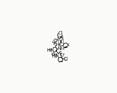 COc1c(Cl)cccc1NC(=S)C1=C(NCc2ccncc2OC[C@@H]2COCCN2C(=O)OC(C)(C)C)C(CCF)CNC1=O